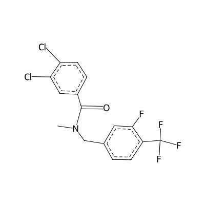 CN(Cc1ccc(C(F)(F)F)c(F)c1)C(=O)c1ccc(Cl)c(Cl)c1